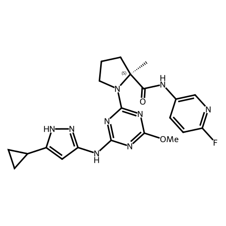 COc1nc(Nc2cc(C3CC3)[nH]n2)nc(N2CCC[C@@]2(C)C(=O)Nc2ccc(F)nc2)n1